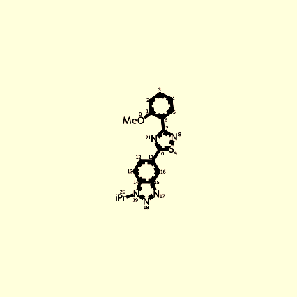 COc1ccccc1-c1nsc(-c2ccc3c(c2)nnn3C(C)C)n1